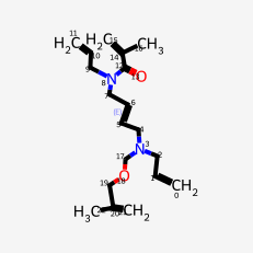 C=CCN(C/C=C/CN(CC=C)C(=O)C(=C)C)COCC(=C)C